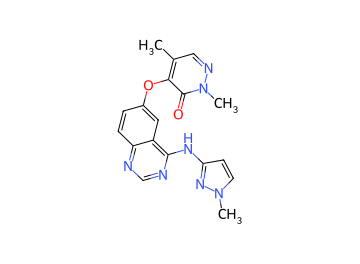 Cc1cnn(C)c(=O)c1Oc1ccc2ncnc(Nc3ccn(C)n3)c2c1